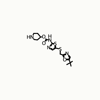 CC(C)(C)c1cnc(CSc2cnc(NC(=O)OC3CCNCC3)s2)o1